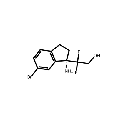 N[C@@]1(C(F)(F)CO)CCc2ccc(Br)cc21